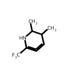 CC1C=C=C(C(F)(F)F)NC1C